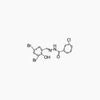 O=C(N/N=C/c1cc(Br)cc(Br)c1O)c1cccc(Cl)c1